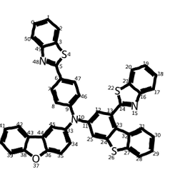 c1ccc2sc(-c3ccc(N(c4cc(-c5nc6ccccc6s5)c5c(c4)sc4ccccc45)c4ccc5oc6ccccc6c5c4)cc3)nc2c1